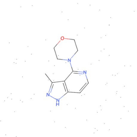 Cc1n[nH]c2ccnc(N3CCOCC3)c12